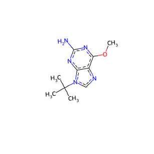 COc1nc(N)nc2c1ncn2C(C)(C)C